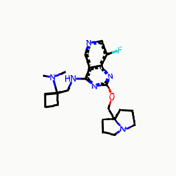 CN(C)C1(CNc2nc(OCC34CCCN3CCC4)nc3c(F)cncc23)CCC1